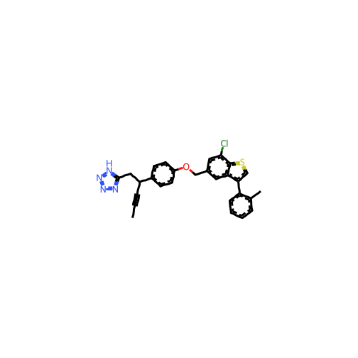 CC#CC(Cc1nnn[nH]1)c1ccc(OCc2cc(Cl)c3scc(-c4ccccc4C)c3c2)cc1